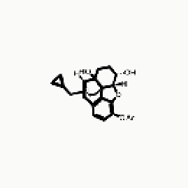 CC(=O)Oc1ccc2c3c1O[C@H]1[C@@H](O)CCC4(O)[C@@H](C2)N(CC2CC2)CC[C@]314